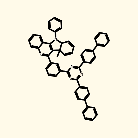 CC12C=CC=CC1N(c1ccccc1)c1c2c(-c2cccc(-c3nc(-c4ccc(-c5ccccc5)cc4)nc(-c4ccc(-c5ccccc5)cc4)n3)c2)nc2ccccc12